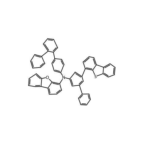 c1ccc(-c2cc(-c3cccc4c3sc3ccccc34)cc(N(c3ccc(-c4ccccc4-c4ccccc4)cc3)c3cccc4c3oc3ccccc34)c2)cc1